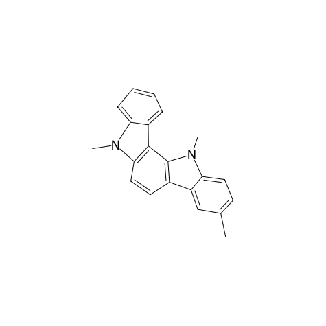 Cc1ccc2c(c1)c1ccc3c(c4ccccc4n3C)c1n2C